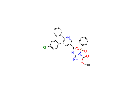 CC(C)(C)OC(=O)N(C(=N)NCc1cnc(-c2ccccc2)c(-c2ccc(Cl)cc2)c1)S(=O)(=O)c1ccccc1